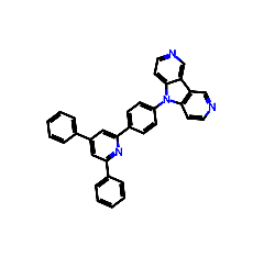 c1ccc(-c2cc(-c3ccccc3)nc(-c3ccc(-n4c5ccncc5c5cnccc54)cc3)c2)cc1